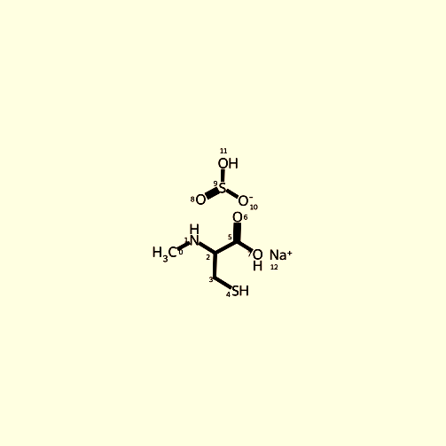 CNC(CS)C(=O)O.O=S([O-])O.[Na+]